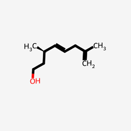 C=C(C)C/C=C/[C@H](C)CCO